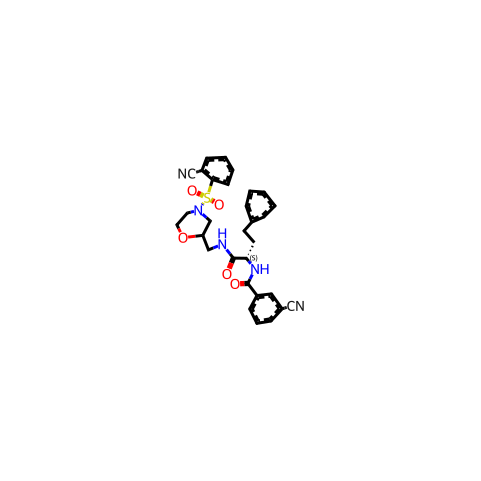 N#Cc1cccc(C(=O)N[C@@H](CCc2ccccc2)C(=O)NCC2CN(S(=O)(=O)c3ccccc3C#N)CCO2)c1